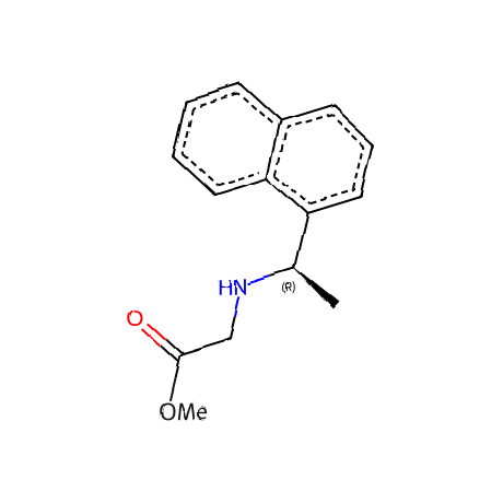 COC(=O)CN[C@H](C)c1cccc2ccccc12